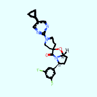 O=C1N2[C@@H](CC[C@H]2c2cc(F)cc(F)c2)OC12CCN(c1ncc(C3CC3)cn1)CC2